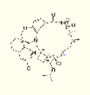 CC(C)OC[C@@]1(O)/C=C/C[C@H](C)[C@@H](C)S(=O)(=O)NC(=O)c2ccc3c(c2)N(C[C@@H]2CC[C@H]21)C[C@@]1(CCCc2cc(Cl)ccc21)CO3